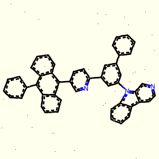 c1ccc(-c2cc(-c3ccc(-c4c5ccccc5c(-c5ccccc5)c5ccccc45)cn3)cc(-n3c4ccccc4c4ccncc43)c2)cc1